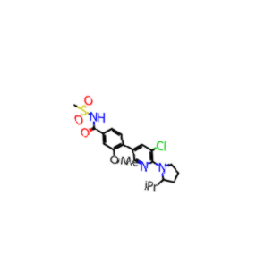 COc1cc(C(=O)NS(C)(=O)=O)ccc1-c1cnc(N2CCCC2C(C)C)c(Cl)c1